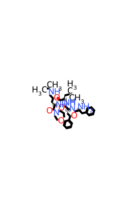 CC(C)C[C@@H](NC(=O)[C@@H](CCc1ccccc1)NC(=O)[C@H](N)Cc1ccccc1)C(=O)N[C@H](CCCNC(C)C)C(=O)N1CCCOCC1